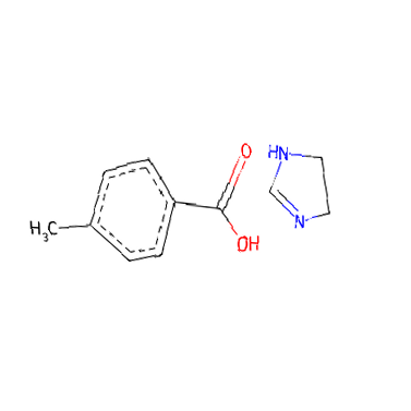 C1=NCCN1.Cc1ccc(C(=O)O)cc1